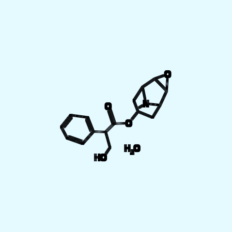 CN1C2CC(OC(=O)C(CO)c3ccccc3)CC1C1OC12.O